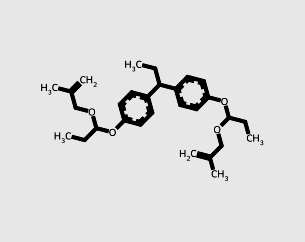 C=C(C)COC(CC)Oc1ccc(C(CC)c2ccc(OC(CC)OCC(=C)C)cc2)cc1